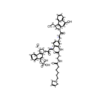 O=C(CCCCCN1CC=CC1)NCCC(=O)Nc1cc(/C=C/C(=O)N2C[C@@H](CCl)c3c2cc(O)c2ccccc32)ccc1/C=C/C(=O)N1C[C@@H](CCl)c2c1cc(OP(=O)(O)O)c1ccccc21